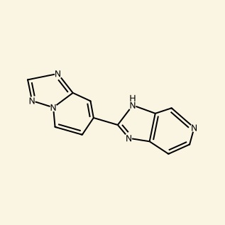 c1cc2nc(-c3ccn4ncnc4c3)[nH]c2cn1